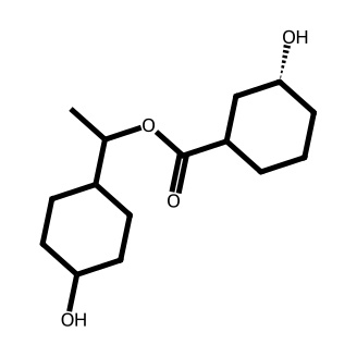 CC(OC(=O)C1CCC[C@@H](O)C1)C1CCC(O)CC1